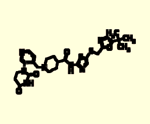 CC(C)(C)c1cnc(CSc2cnc(NC(=O)C3CCN(Cc4ccncc4N4CCC(=O)NC4=O)CC3)s2)o1